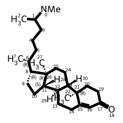 CNC(C)CCC[C@@H](C)[C@H]1CC[C@H]2[C@@H]3CCC4=CC(=O)CC[C@]4(C)[C@H]3CC[C@]12C